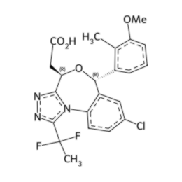 COc1cccc([C@H]2O[C@H](CC(=O)O)c3nnc(C(C)(F)F)n3-c3ccc(Cl)cc32)c1C